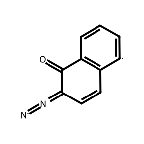 [N-]=[N+]=C1C=Cc2[c]cccc2C1=O